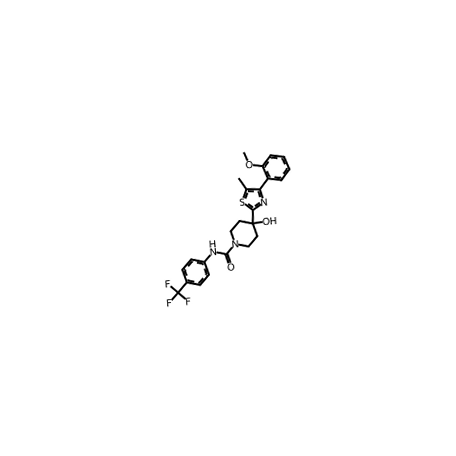 COc1ccccc1-c1nc(C2(O)CCN(C(=O)Nc3ccc(C(F)(F)F)cc3)CC2)sc1C